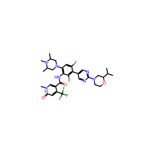 CN/C=C(C(=O)Nc1c(N2CC(C)N(C)C(C)C2)cc(F)c(-c2cnc(N3CCOC(C(C)C)C3)nc2)c1F)\C(=C/C=O)C(F)(F)F